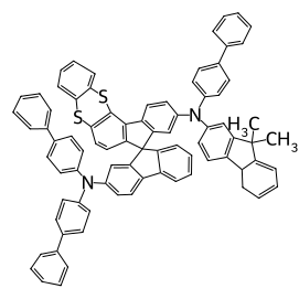 CC1(C)C2=CC=CCC2c2ccc(N(c3ccc(-c4ccccc4)cc3)c3ccc4c(c3)C3(c5ccccc5-c5ccc(N(c6ccc(-c7ccccc7)cc6)c6ccc(-c7ccccc7)cc6)cc53)c3ccc5c(c3-4)Sc3ccccc3S5)cc21